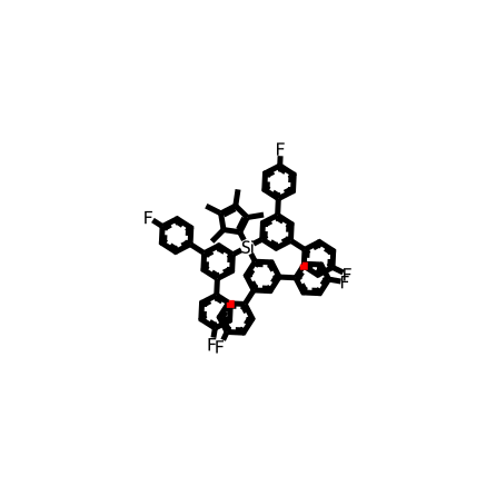 CC1=C(C)C(C)C([Si](c2cc(-c3ccc(F)cc3)cc(-c3ccc(F)cc3)c2)(c2cc(-c3ccc(F)cc3)cc(-c3ccc(F)cc3)c2)c2cc(-c3ccc(F)cc3)cc(-c3ccc(F)cc3)c2)=C1C